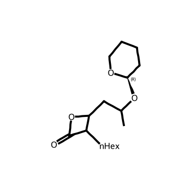 CCCCCCC1C(=O)OC1CC(C)O[C@@H]1CCCCO1